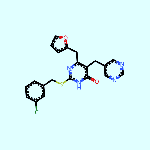 O=c1[nH]c(SCc2cccc(Cl)c2)nc(Cc2ccco2)c1Cc1cncnc1